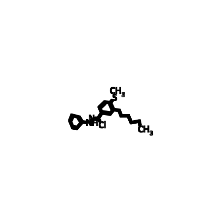 CCCCCCc1cc(C(Cl)=NNc2ccccc2)ccc1SC